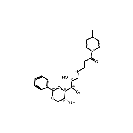 [CH2]C1CCN(C(=O)CCNC[C@@H](O)[C@@H](O)[C@@H]2O[C@H](c3ccccc3)OC[C@H]2O)CC1